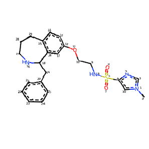 Cn1cnc(S(=O)(=O)NCCOc2ccc3c(c2)C(Cc2ccccc2)NCCC3)c1